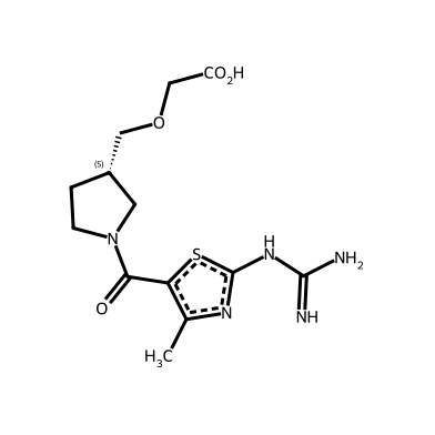 Cc1nc(NC(=N)N)sc1C(=O)N1CC[C@H](COCC(=O)O)C1